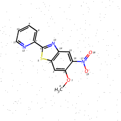 COc1cc2sc(-c3ccccn3)nc2cc1[N+](=O)[O-]